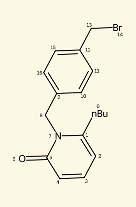 CCCCc1cccc(=O)n1Cc1ccc(CBr)cc1